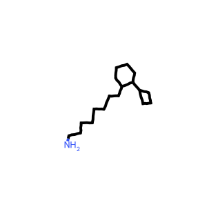 NCCCCCCCCC1CCCCC1C1CCC1